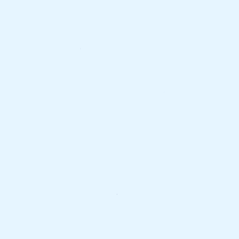 CCC[O][Ti]([CH2]C(=O)CC(C)=O)[O]CCC